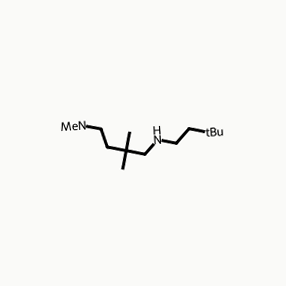 CNCCC(C)(C)CNCCC(C)(C)C